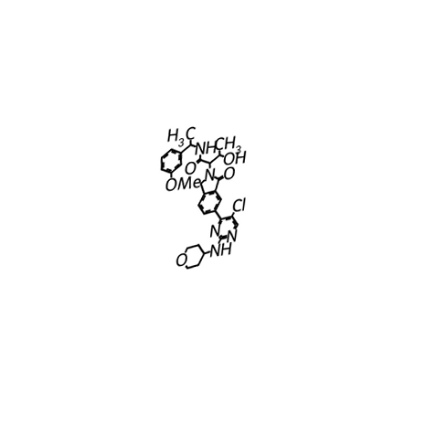 COc1cccc(C(C)NC(=O)C(C(C)O)N2Cc3ccc(-c4nc(NC5CCOCC5)ncc4Cl)cc3C2=O)c1